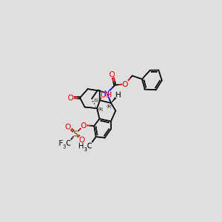 Cc1ccc2c(c1OS(=O)(=O)C(F)(F)F)[C@]13CCN(C(=O)OCc4ccccc4)[C@H](C2)[C@]1(O)CCC(=O)C3